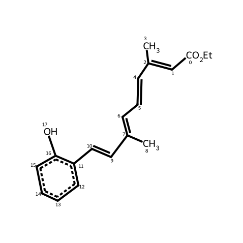 CCOC(=O)C=C(C)C=CC=C(C)C=Cc1ccccc1O